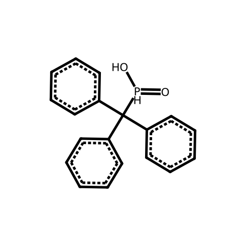 O=[PH](O)C(c1ccccc1)(c1ccccc1)c1ccccc1